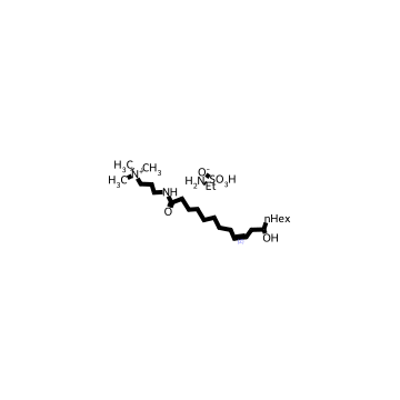 CCCCCCC(O)C/C=C\CCCCCCCC(=O)NCCC[N+](C)(C)C.CCN.O=S(=O)([O-])O